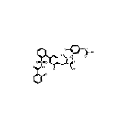 CCCc1nn(-c2cc(NC(=O)CC)ccc2Cl)c(C#N)c1Cc1ccc(-c2ccccc2S(=O)(=O)NC(=O)c2ccccc2Cl)cc1F